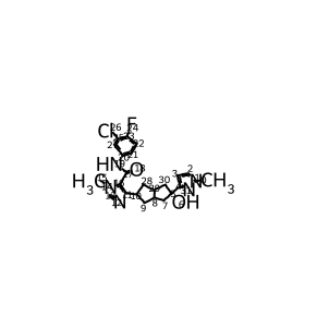 Cn1ccc(C2(O)CC3CC(c4ncn(C)c4C(=O)Nc4ccc(F)c(Cl)c4)CC3C2)n1